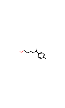 Cc1ccc(C(C)CCCCO)cc1